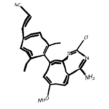 COc1cc(-c2c(C)cc(C=CC#N)cc2C)c2nc(Cl)nc(N)c2c1